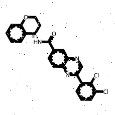 O=C(N[C@H]1CCOc2ccccc21)c1ccc2nc(-c3cccc(Cl)c3Cl)cnc2c1